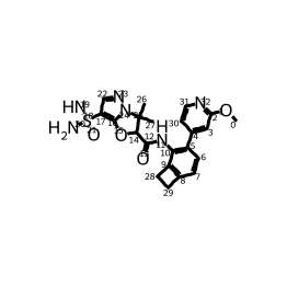 COc1cc(-c2ccc3c(c2NC(=O)C2Oc4c(S(=N)(N)=O)cnn4C2(C)C)CC3)ccn1